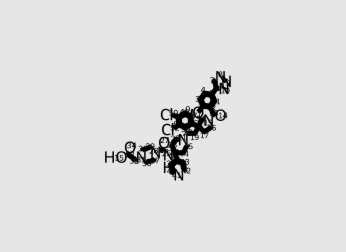 COc1ccc(C2C=NN=N2)cc1C(=O)N1CCC(CCN2CCC(NC(=O)N3CCN(CC(=O)O)CC3)(c3ccncc3)CC2)(c2ccc(Cl)c(Cl)c2)C1